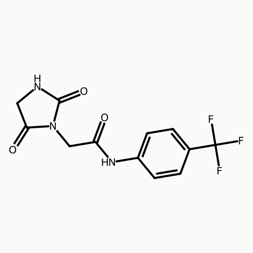 O=C(CN1C(=O)CNC1=O)Nc1ccc(C(F)(F)F)cc1